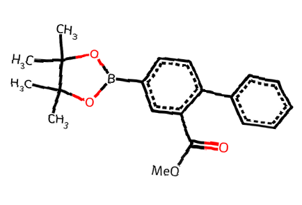 COC(=O)c1cc(B2OC(C)(C)C(C)(C)O2)ccc1-c1ccccc1